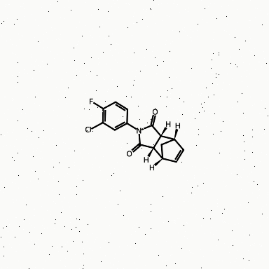 O=C1[C@@H]2[C@H](C(=O)N1c1ccc(F)c(Cl)c1)[C@@H]1C=C[C@H]2C1